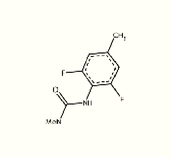 CNC(=O)Nc1c(F)cc(C)cc1F